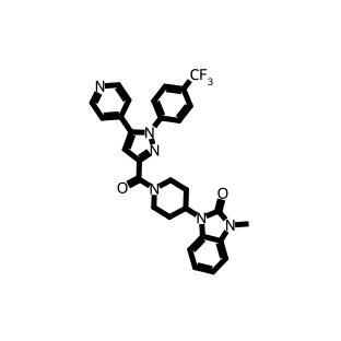 Cn1c(=O)n(C2CCN(C(=O)c3cc(-c4ccncc4)n(-c4ccc(C(F)(F)F)cc4)n3)CC2)c2ccccc21